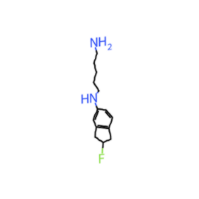 NCCCCCNc1ccc2c(c1)CC(F)C2